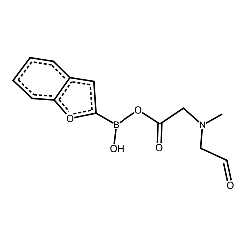 CN(CC=O)CC(=O)OB(O)c1cc2ccccc2o1